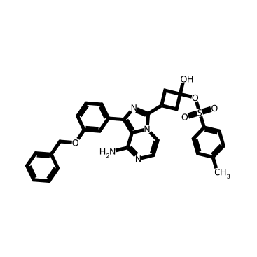 Cc1ccc(S(=O)(=O)OC2(O)CC(c3nc(-c4cccc(OCc5ccccc5)c4)c4c(N)nccn34)C2)cc1